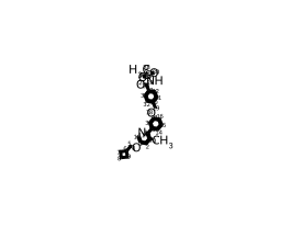 Cc1cc(OCC2CCC2)cnc1-c1cccc(OCc2ccc(C(=O)NS(C)(=O)=O)cc2)c1